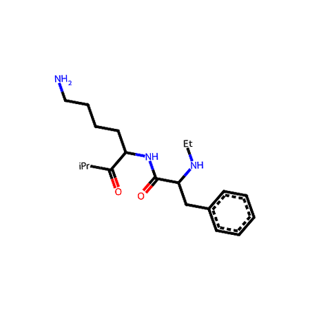 CCNC(Cc1ccccc1)C(=O)NC(CCCCN)C(=O)C(C)C